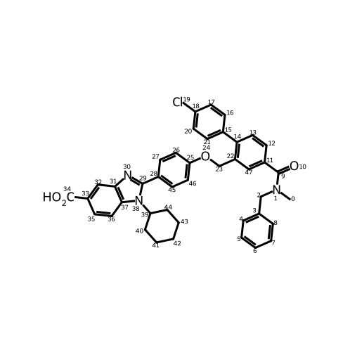 CN(Cc1ccccc1)C(=O)c1ccc(-c2ccc(Cl)cc2)c(COc2ccc(-c3nc4cc(C(=O)O)ccc4n3C3CCCCC3)cc2)c1